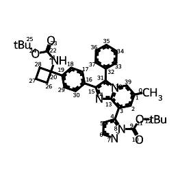 Cc1cc(-c2ccnn2C(=O)OC(C)(C)C)c2nc(-c3ccc(C4(NC(=O)OC(C)(C)C)CCC4)cc3)c(-c3ccccc3)n2c1